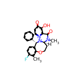 Cc1c(F)ccc2c1OCC[C@@H]1N(C)C(=O)c3c(O)c(=O)ccn3N1[C@H]2c1ccccc1